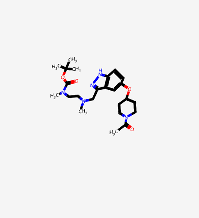 CC(=O)N1CCC(Oc2ccc3[nH]nc(CN(C)CCN(C)C(=O)OC(C)(C)C)c3c2)CC1